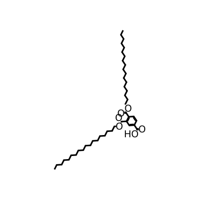 CCCCCCCCCCCCCCCCCCOC(=O)c1ccc(C(=O)O)cc1C(=O)OCCCCCCCCCCCCCCCCCC